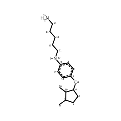 CC1CCC(Oc2ccc(NCCCCCN)cc2)C1C